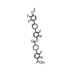 CCOc1ccc(C2=CCC(c3ccc(OC(=O)C4CCC(c5ccc(C(C)O)c(F)c5F)CC4)c(F)c3F)CC2)c(F)c1F